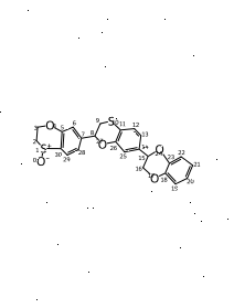 [O-][S+]1CCOc2cc(C3CSc4ccc(C5COc6ccccc6O5)cc4O3)ccc21